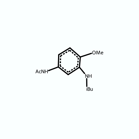 CCC(C)Nc1cc(NC(C)=O)ccc1OC